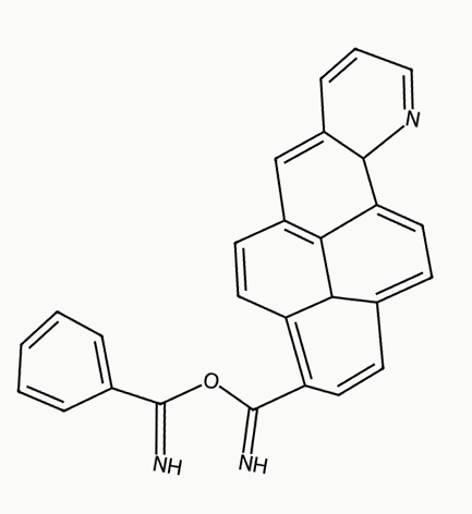 N=C(OC(=N)c1ccccc1)C1=C2C=CC3=C4C(=CC=C(C=C1)C24)C1N=CC=CC1=C3